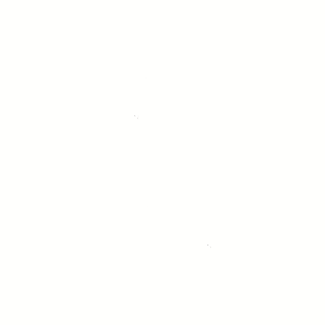 COc1cc(C#N)cc(OC)c1OCCN1CCOCC1